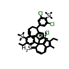 CCC1=C(C)C2=CC=CC(=[SiH2])C(C3=C(C)C=C4C3=CC=CCC4c3cc(Cl)c([Si](C)(C)C)c(Cl)c3)(c3cc(C)c([Si](C)(C)C)c(CC)c3)C2=[C]1[Hf]([Cl])[Cl]